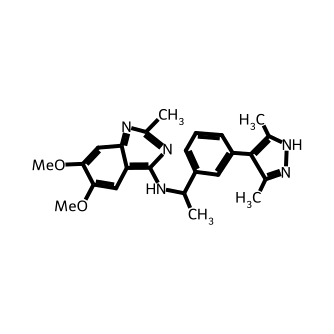 COc1cc2nc(C)nc(NC(C)c3cccc(-c4c(C)n[nH]c4C)c3)c2cc1OC